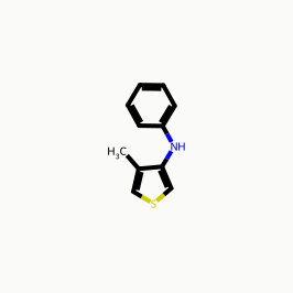 Cc1cscc1Nc1ccccc1